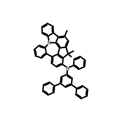 Cc1cc2c3c4c1c1ccccc1n4-c1ccccc1-c1ccc(N(c4ccccc4)c4cc(-c5ccccc5)cc(-c5ccccc5)c4)c(c1-3)C2(C)C